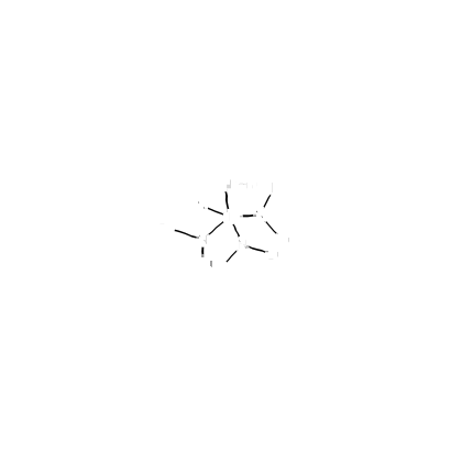 CCCC[CH2][Ta]([NH2])([N](CC)CC)([N](CC)CC)[N](CC)CC